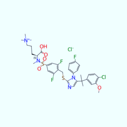 COc1cc(C(C)(C)c2cnc(SCc3c(F)cc(S(=O)(=O)N(C)[C@@H](CCC[N+](C)(C)C)C(=O)O)cc3F)n2-c2ccc(F)cc2)ccc1Cl.[Cl-]